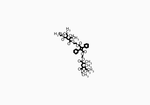 CCOC(=O)C(CC(C)C)CC(C(=O)OCCOC(=O)C1C(c2ccccc2)C(C(=O)OCCOC(=O)C(CC(CC(C)C)C(=O)OCC)C(C)C)C1c1ccccc1)C(C)C